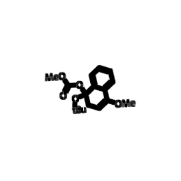 COC(=O)OC1(OC(C)(C)C)CC=C(OC)c2ccccc21